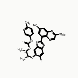 COc1cnc2c(-c3nc4cc(F)c(O[C@@H](C)[C@@H](C)OC(=O)Nc5ccc(C)nc5)cc4s3)cc(C#N)cc2n1